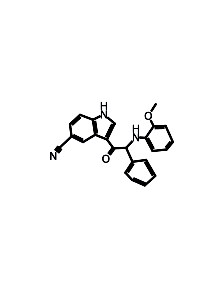 COc1ccccc1NC(C(=O)c1c[nH]c2ccc(C#N)cc12)c1ccccc1